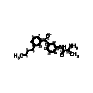 CCCCc1cccc([S+]([O-])c2cccc(NC(=O)C(C)N)c2)c1